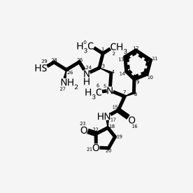 CC(C)[C@@H](CN(C)[C@@H](Cc1ccccc1)C(=O)N[C@H]1CCOC1=O)NC[C@@H](N)CS